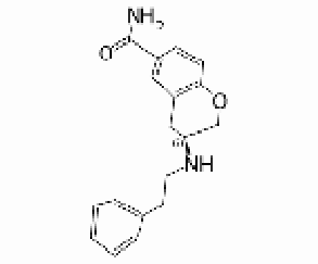 NC(=O)c1ccc2c(c1)C[C@H](NCCc1ccccc1)CO2